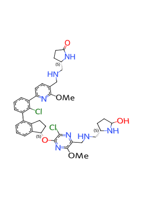 COc1nc(-c2cccc(-c3cccc4c3CC[C@@H]4Oc3nc(OC)c(CNC[C@@H]4CCC(O)N4)nc3Cl)c2Cl)ccc1CNC[C@@H]1CCC(=O)N1